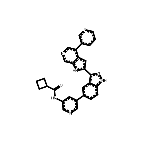 O=C(Nc1cncc(-c2ccc3[nH]nc(-c4cc5c(-c6cccnc6)cncc5[nH]4)c3c2)c1)C1CCC1